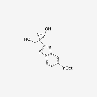 CCCCCCCCc1ccc2sc(C(N)(CO)CO)cc2c1